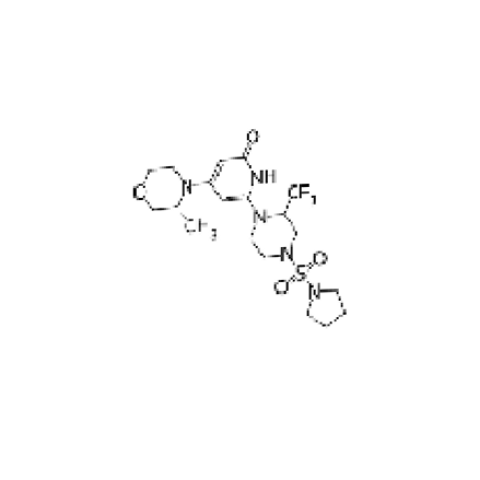 C[C@@H]1COCCN1c1cc(N2CCN(S(=O)(=O)N3CCCC3)CC2C(F)(F)F)[nH]c(=O)c1